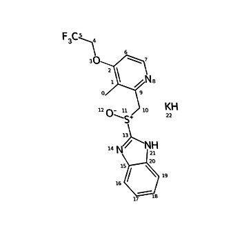 Cc1c(OCC(F)(F)F)ccnc1C[S+]([O-])c1nc2ccccc2[nH]1.[KH]